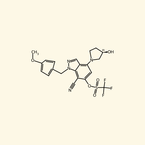 COc1ccc(Cn2ncc3c(N4CC[C@@H](O)C4)cc(OS(=O)(=O)C(F)(F)F)c(C#N)c32)cc1